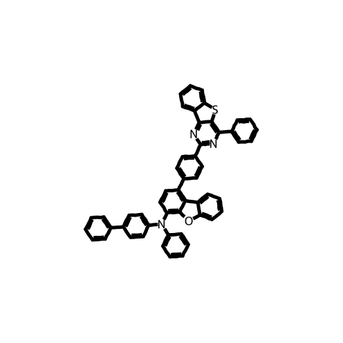 c1ccc(-c2ccc(N(c3ccccc3)c3ccc(-c4ccc(-c5nc(-c6ccccc6)c6sc7ccccc7c6n5)cc4)c4c3oc3ccccc34)cc2)cc1